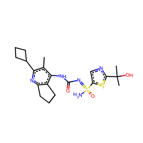 Cc1c(C2CCC2)nc2c(c1NC(=O)N=S(N)(=O)c1cnc(C(C)(C)O)s1)CCC2